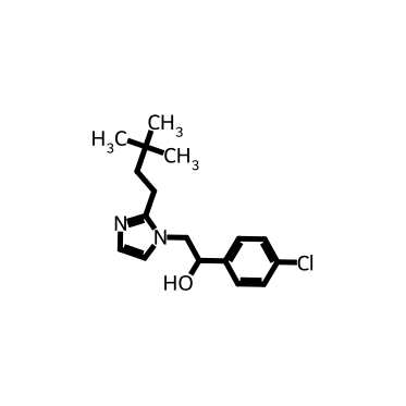 CC(C)(C)CCc1nccn1CC(O)c1ccc(Cl)cc1